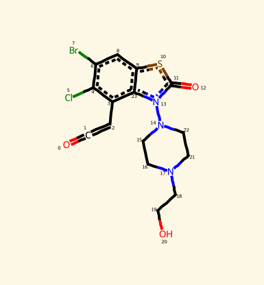 O=C=Cc1c(Cl)c(Br)cc2sc(=O)n(N3CCN(CCO)CC3)c12